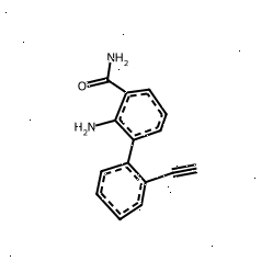 C#Cc1ccccc1-c1cccc(C(N)=O)c1N